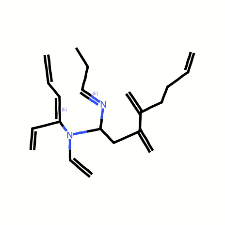 C=C/C=C(\C=C)N(C=C)C(CC(=C)C(=C)CCC=C)/N=C/CC